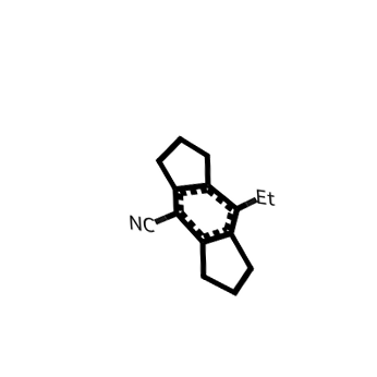 CCc1c2c(c(C#N)c3c1CCC3)CCC2